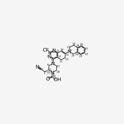 N#CC[C@H]1CN(c2nc(Cl)nc3c2CCC(N2CCc4ccccc4C2)=C3)CCN1C(=O)O